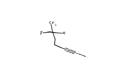 [CH2]C#CCC(F)(F)C(F)(F)F